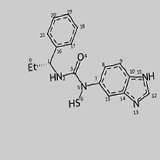 CC[C@@H](NC(=O)N(S)c1ccc2[nH]cnc2c1)c1ccccc1